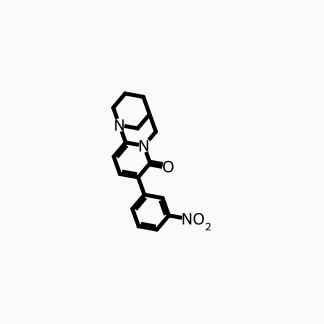 O=c1c(-c2cccc([N+](=O)[O-])c2)ccc2n1CC1CCCN2C1